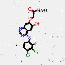 CNC(=O)COc1cc2ncnc(Nc3ccc(Cl)c(Cl)c3F)c2cc1O